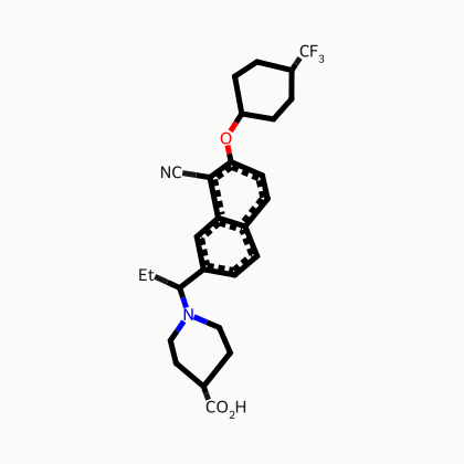 CCC(c1ccc2ccc(OC3CCC(C(F)(F)F)CC3)c(C#N)c2c1)N1CCC(C(=O)O)CC1